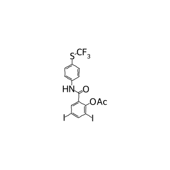 CC(=O)Oc1c(I)cc(I)cc1C(=O)Nc1ccc(SC(F)(F)F)cc1